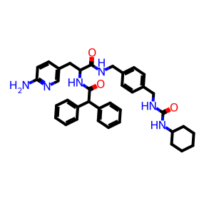 Nc1ccc(CC(NC(=O)C(c2ccccc2)c2ccccc2)C(=O)NCc2ccc(CNC(=O)NC3CCCCC3)cc2)cn1